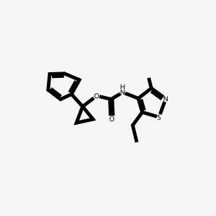 CCc1snc(C)c1NC(=O)OC1(c2ccccc2)CC1